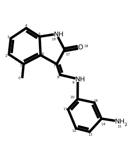 Cc1cccc2c1C(=CNc1cccc(N)c1)C(=O)N2